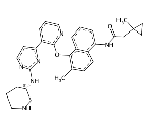 Cc1ccc2c(NC(=O)CC3(C)CC3)cccc2c1Oc1ncccc1-c1ccnc(N[C@H]2CCCNC2)n1